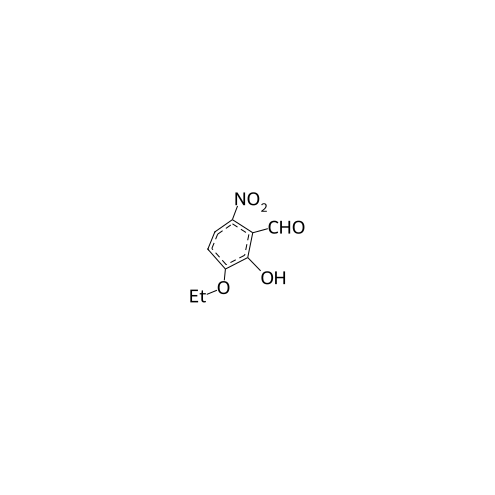 CCOc1ccc([N+](=O)[O-])c(C=O)c1O